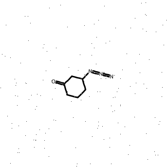 [N-]=[N+]=NC1CCCC(=O)C1